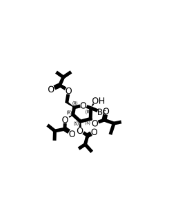 CC(C)C(=O)OC[C@H]1O[C@@](O)(Br)[C@@H](OC(=O)C(C)C)[C@@H](OC(=O)C(C)C)[C@@H]1OC(=O)C(C)C